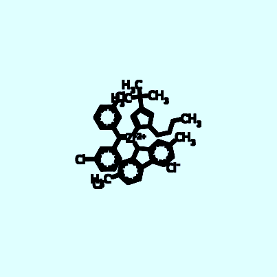 CCCCC1C=C(C(C)(C)C)C=[C]1[Zr+2](=[C](c1cccc(Cl)c1)c1cccc(Cl)c1)[CH]1c2cc(C)ccc2-c2ccc(C)cc21.[Cl-].[Cl-]